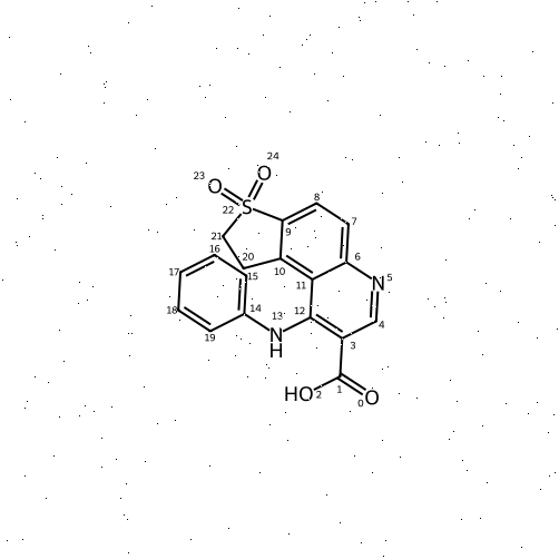 O=C(O)c1cnc2ccc3c(c2c1Nc1ccccc1)CCS3(=O)=O